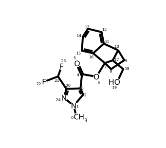 Cn1cc(C(=O)OC23CCC(c4ccccc42)C3CO)c(C(F)F)n1